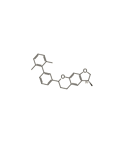 Cc1cccc(C)c1-c1cccc(C2CCc3cc4c(cc3O2)OC[C@H]4C)c1